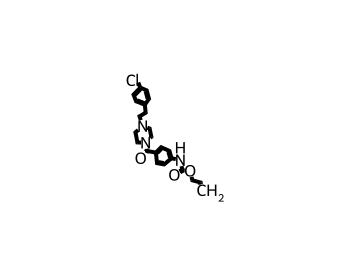 C=CCOC(=O)Nc1ccc(C(=O)N2CCN(CCc3ccc(Cl)cc3)CC2)cc1